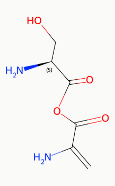 C=C(N)C(=O)OC(=O)[C@@H](N)CO